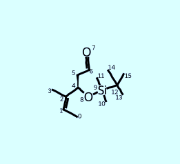 C/C=C(/C)[C@@H](CC=O)O[Si](C)(C)C(C)(C)C